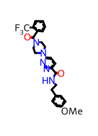 COc1ccc(CCNC(=O)c2ccc(N3CCN(C(=O)c4ccccc4C(F)(F)F)CC3)nn2)cc1